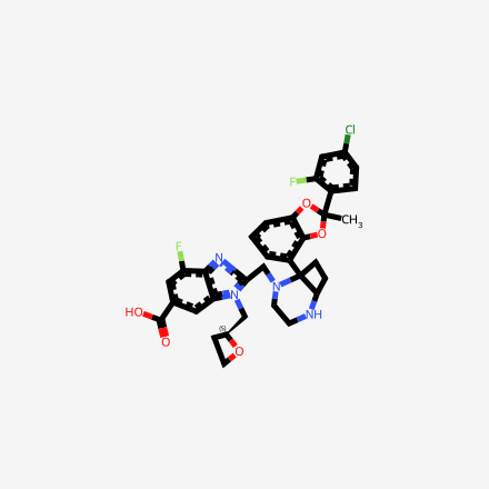 CC1(c2ccc(Cl)cc2F)Oc2cccc(C34CCC3NCCN4Cc3nc4c(F)cc(C(=O)O)cc4n3C[C@@H]3CCO3)c2O1